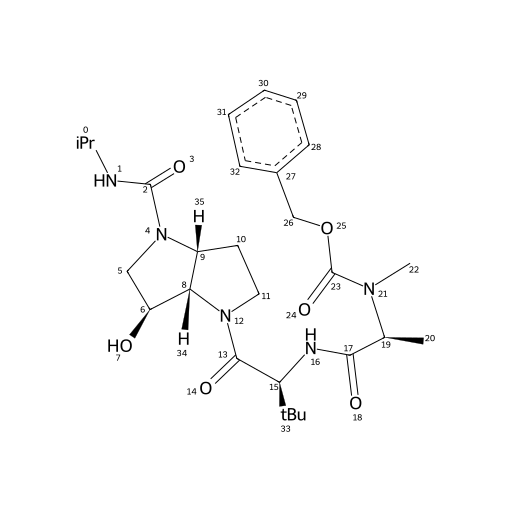 CC(C)NC(=O)N1C[C@H](O)[C@@H]2[C@H]1CCN2C(=O)[C@@H](NC(=O)[C@H](C)N(C)C(=O)OCc1ccccc1)C(C)(C)C